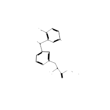 CC(C)(C)OC(=O)C(N)Cc1cccc(C(O)c2cc(Cl)ccc2N)c1